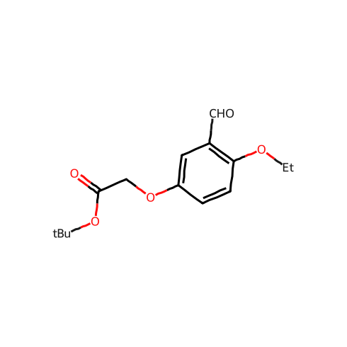 CCOc1ccc(OCC(=O)OC(C)(C)C)cc1C=O